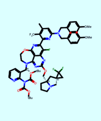 COc1ccc(CN(Cc2ccc(OC)cc2)c2cc(C)c(C(F)(F)F)c(-c3nc4c5c(nc(OC[C@@]67CCCN6C[C@]6(CC6(F)F)C7)nc5c3F)N([C@H](C)c3cccnc3N(C(=O)OC(C)(C)C)C(=O)OC(C)(C)C)CCO4)n2)cc1